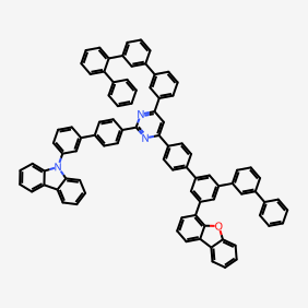 c1ccc(-c2cccc(-c3cc(-c4ccc(-c5cc(-c6cccc(-c7cccc(-c8ccccc8-c8ccccc8)c7)c6)nc(-c6ccc(-c7cccc(-n8c9ccccc9c9ccccc98)c7)cc6)n5)cc4)cc(-c4cccc5c4oc4ccccc45)c3)c2)cc1